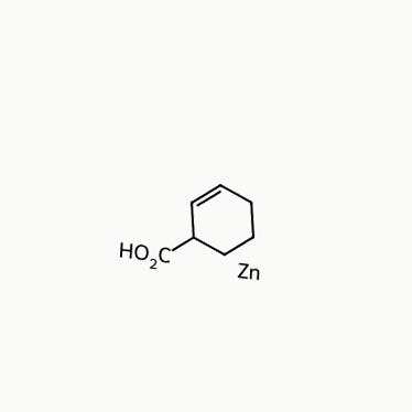 O=C(O)C1C=CCCC1.[Zn]